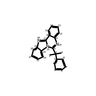 CC(C)(c1ccccc1)c1nc2ccccc2c2nc3ccccc3n12